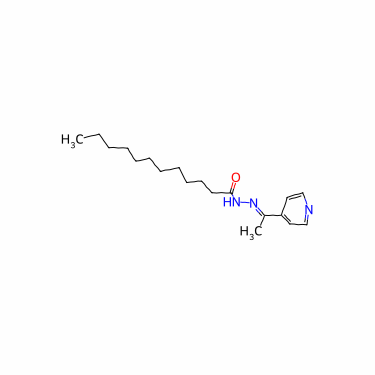 CCCCCCCCCCCC(=O)N/N=C(\C)c1ccncc1